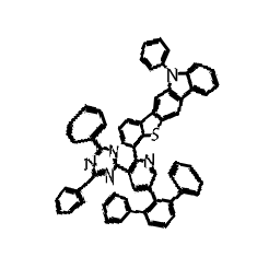 c1ccc(-c2nc(-c3ccccc3)nc(-c3cc(-c4c(-c5ccccc5)cccc4-c4ccccc4)cnc3-c3cccc4c3sc3cc5c6ccccc6n(-c6ccccc6)c5cc34)n2)cc1